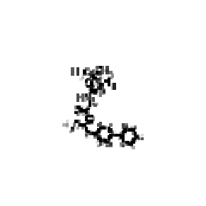 CC(Cc1ccc(-c2ccccc2)cc1)OC(=O)CNC(=O)OC(C)(C)C